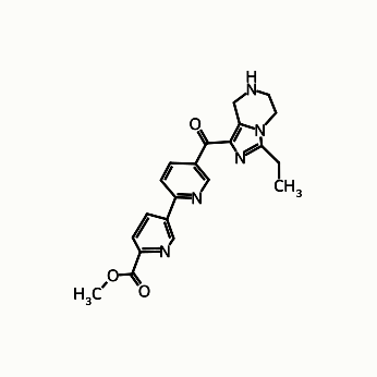 CCc1nc(C(=O)c2ccc(-c3ccc(C(=O)OC)nc3)nc2)c2n1CCNC2